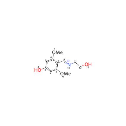 COc1cc(O)cc(OC)c1/C=N/CCO